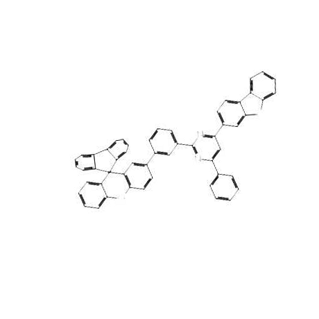 c1ccc(-c2cc(-c3ccc4c(c3)oc3ccccc34)nc(-c3cccc(-c4ccc5c(c4)C4(c6ccccc6O5)c5ccccc5-c5ccccc54)c3)n2)cc1